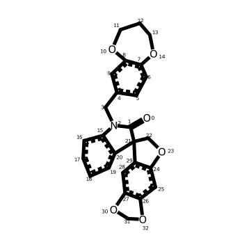 O=C1N(Cc2ccc3c(c2)OCCCO3)c2ccccc2C12COc1cc3c(cc12)OCO3